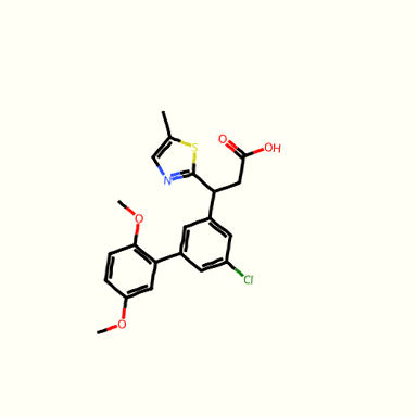 COc1ccc(OC)c(-c2cc(Cl)cc(C(CC(=O)O)c3ncc(C)s3)c2)c1